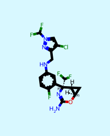 NC1=N[C@](c2cc(NCc3nn(C(F)F)cc3Cl)ccc2F)(C(F)F)[C@H]2C[C@H]2O1